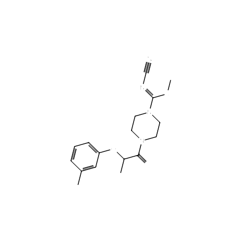 CS/C(=N\C#N)N1CCN(C(=O)C(C)Oc2cccc(C)c2)CC1